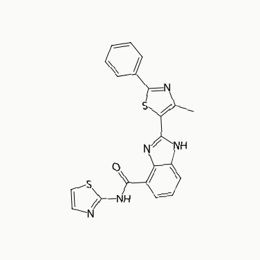 Cc1nc(-c2ccccc2)sc1-c1nc2c(C(=O)Nc3nccs3)cccc2[nH]1